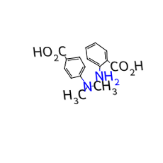 CN(C)c1ccc(C(=O)O)cc1.Nc1ccccc1C(=O)O